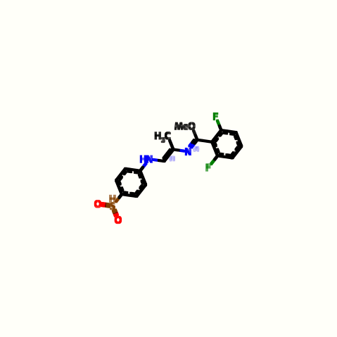 CO/C(=N\C(C)=C\Nc1ccc([SH](=O)=O)cc1)c1c(F)cccc1F